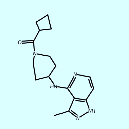 Cc1n[nH]c2ccnc(NC3CCN(C(=O)C4CCC4)CC3)c12